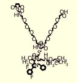 CC(C)(C)[C@H](c1cc(-c2cc(F)ccc2F)cn1Cc1ccccc1)N(CCCNC(=O)OCC[Si](C)(C)C)C(=O)CSC[C@H](NC(=O)CCOCCOCCOCCOCCNC(=O)CN1C(=O)C=CC1=O)C(=O)NCCOCCOCCOCCOCCC(=O)O